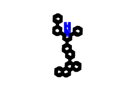 C1=CCCC(C2CCCC(C3=CC(C4=CCC5C=C(C6=CC7c8ccccc8C=CC7C7=C6C=CCC7)C=CC5C4)=CC(C4=CCCCC4)N3)C2)=C1